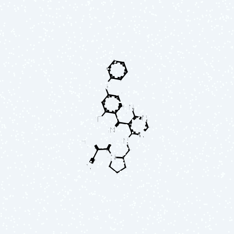 C=C(C#N)C(=O)N1CCCC1CNc1ncnc(N)c1C(=N)c1ccc(Oc2ccccc2)cc1F